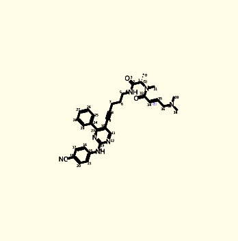 C[C@@H](C(=O)NCCCC#Cc1cnc(Nc2ccc(C#N)cc2)nc1-c1ccccc1)N(C)C(=O)/C=C/CN(C)C